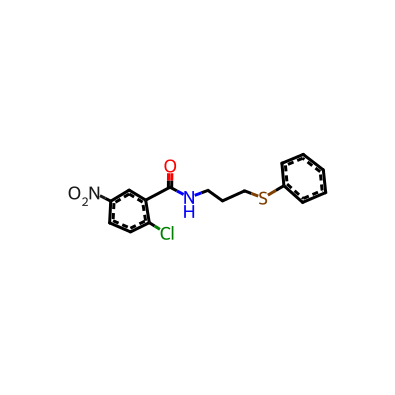 O=C(NCCCSc1ccccc1)c1cc([N+](=O)[O-])ccc1Cl